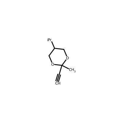 C#CC1(C)OCC(C(C)C)CO1